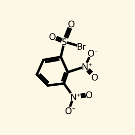 O=[N+]([O-])c1cccc(S(=O)(=O)Br)c1[N+](=O)[O-]